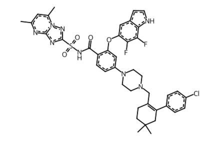 Cc1cc(C)n2nc(S(=O)(=O)NC(=O)c3ccc(N4CCN(CC5=C(c6ccc(Cl)cc6)CC(C)(C)CC5)CC4)cc3Oc3cc4cc[nH]c4c(F)c3F)nc2n1